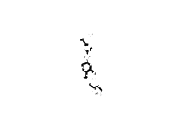 COC(C)c1nc(S(=O)(=O)c2ccc3c(=O)n(Cc4cc[nH]n4)ncc3c2)cs1